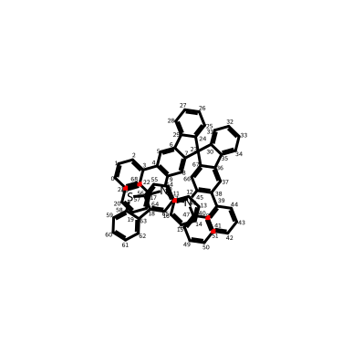 c1ccc(-c2cc3c(cc2N(c2ccccc2)c2ccccc2)C2(c4ccccc4-3)c3ccccc3-c3cc(-c4ccccc4)c(N(c4ccccc4)c4ccc5sc6ccccc6c5c4)cc32)cc1